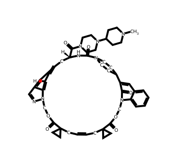 Cc1cc2cc3cnn(c13)COC(=O)C1(C/C=C\CC3(CC3)C(=O)OCn3c(=O)c(cc4ccccc43)C3CCN(CC3)C(=O)N[C@@H](C(=O)N3CCN(C4CCN(C)CC4)CC3)C2)CC1